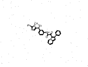 CCC(c1cccc(NC(=O)C(=O)c2c(-c3ccccc3)cc3ccccn23)c1)c1cnc(C(C)C)n1C